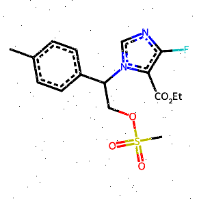 CCOC(=O)c1c(F)ncn1C(COS(C)(=O)=O)c1ccc(C)cc1